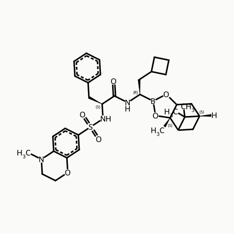 CN1CCOc2cc(S(=O)(=O)N[C@@H](Cc3ccccc3)C(=O)N[C@@H](CC3CCC3)B3OC4C[C@@H]5CC(C5(C)C)[C@]4(C)O3)ccc21